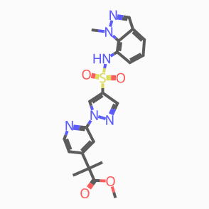 COC(=O)C(C)(C)c1ccnc(-n2cc(S(=O)(=O)Nc3cccc4cnn(C)c34)cn2)c1